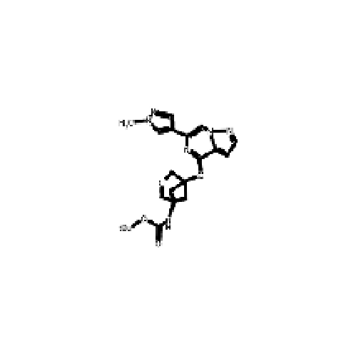 Cn1cc(-c2cn3nccc3c(OC34COCC(NC(=O)OC(C)(C)C)(C3)C4)n2)cn1